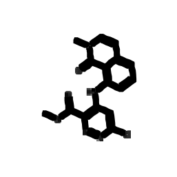 COC(=O)c1nnc(Cl)cc1Nc1cccc2ccn(C)c(=O)c12